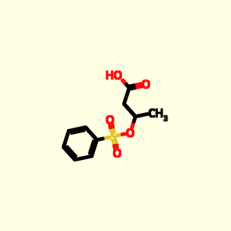 CC(CC(=O)O)OS(=O)(=O)c1ccccc1